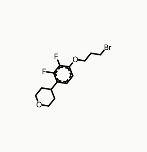 Fc1c(OCCCBr)ccc(C2CCOCC2)c1F